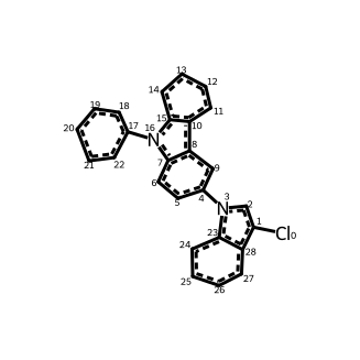 Clc1cn(-c2ccc3c(c2)c2ccccc2n3-c2ccccc2)c2ccccc12